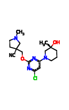 CN1CCC(C#N)(COc2nc(Cl)cc(N3CCC[C@@](C)(O)C3)n2)C1